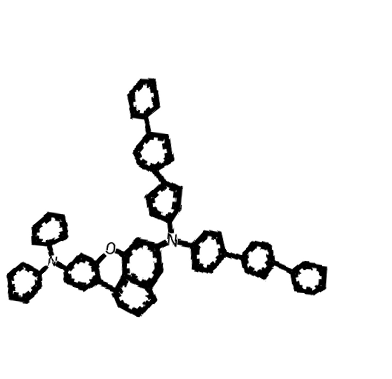 c1ccc(-c2ccc(-c3ccc(N(c4ccc(-c5ccc(-c6ccccc6)cc5)cc4)c4cc5c6c(cccc6c4)-c4ccc(N(c6ccccc6)c6ccccc6)cc4O5)cc3)cc2)cc1